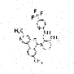 Cc1ccc(-c2ccc(C)nc2)c(C(=O)N2CCCC(C)C2CNc2ccc(C(F)(F)F)cn2)c1